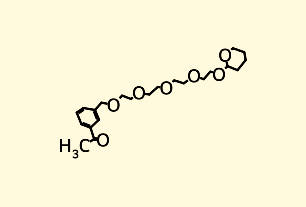 CC(=O)c1cccc(COCCOCCOCCOCCOC2CCCCO2)c1